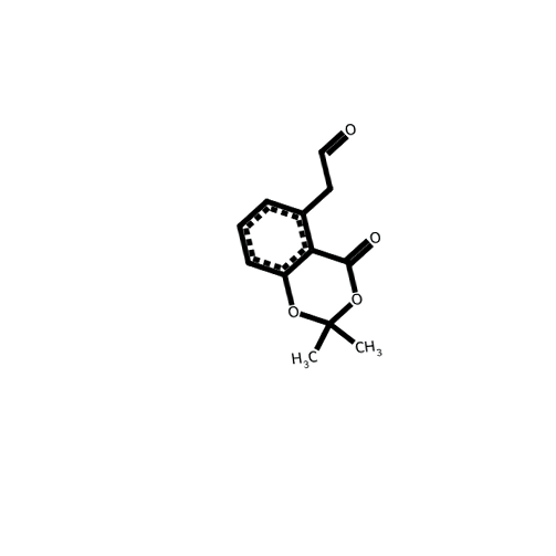 CC1(C)OC(=O)c2c(CC=O)cccc2O1